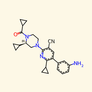 N#Cc1cc(-c2cccc(N)c2)c(C2CC2)nc1N1CCN(C(=O)C2CC2)[C@H](C2CC2)C1